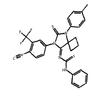 [C-]#[N+]c1ccc(N2C(=S)N(c3ccc(C)cc3)C3(CCC3)C2=NC(=S)Nc2ccccc2)cc1C(F)(F)F